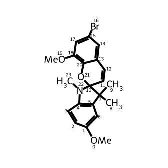 COc1ccc2c(c1)C(C)(C)C1(C=Cc3cc(Br)cc(OC)c3O1)N2C